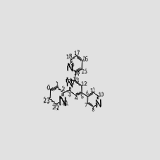 C1=CC(c2cc(-c3ccncc3)cc(-c3ccccn3)n2)=NCC1